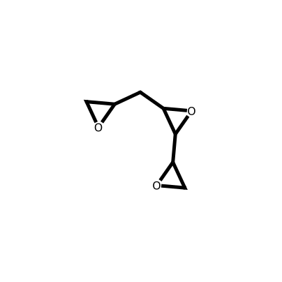 C1OC1CC1OC1C1CO1